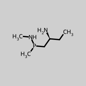 CC[C@H](N)CP(C)NC